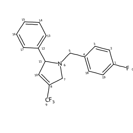 Fc1ccc(CN2CC(C(F)(F)F)=CC2c2ccccc2)cc1